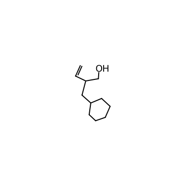 C=CC(CO)CC1CCCCC1